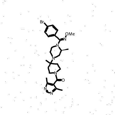 CO/N=C(\c1ccc(Br)cc1)N1CCN(C2(C)CCN(C(=O)c3c(C)ncnc3C)CC2)C[C@@H]1C